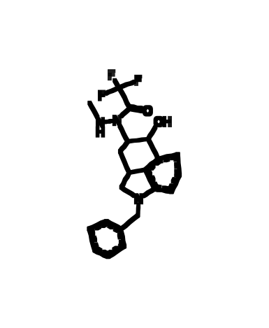 CNN(C(=O)C(F)(F)F)C1CC2CN(Cc3ccccc3)c3cccc(c32)C1O